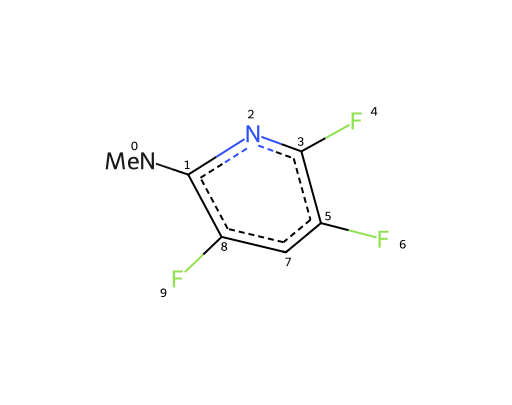 CNc1nc(F)c(F)cc1F